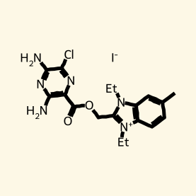 CCn1c(COC(=O)c2nc(Cl)c(N)nc2N)[n+](CC)c2ccc(C)cc21.[I-]